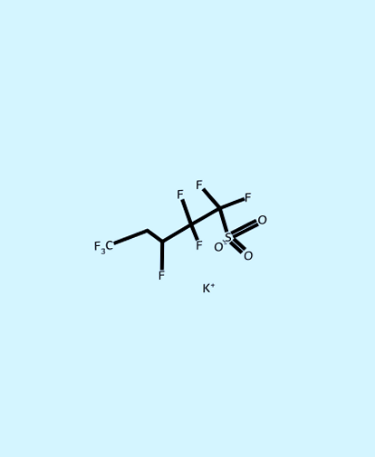 O=S(=O)([O-])C(F)(F)C(F)(F)C(F)CC(F)(F)F.[K+]